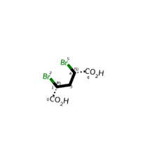 O=C(O)[C@H](Br)C[C@H](Br)C(=O)O